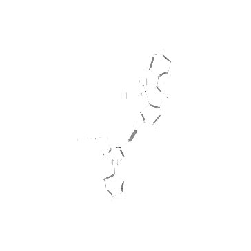 CCCCCCOc1nn(-c2ccccc2)cc1C#Cc1ccc2c(c1)C(C)(C)C(c1ccccc1)=N2